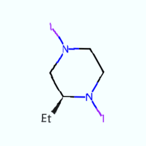 CC[C@H]1CN(I)CCN1I